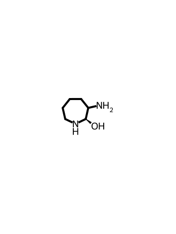 NC1CCCCN[C@@H]1O